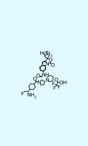 CCC1(CC)OC(=O)n2c1cc1ccc(NC(=O)[C@@H]3[C@H](N4CCCCC4)CCN3C(=O)C3CCC([C@H](N)CF)CC3)cc12.O=C(O)C(F)(F)F